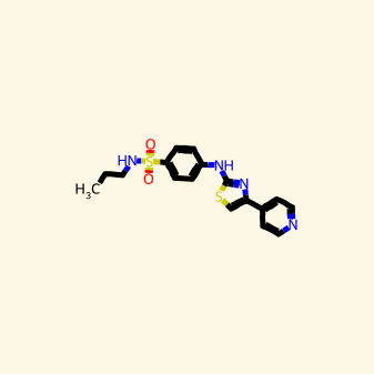 CCCNS(=O)(=O)c1ccc(Nc2nc(-c3ccncc3)cs2)cc1